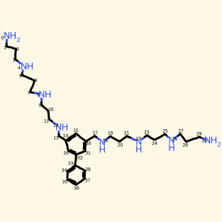 NCCCNCCCNCCCNCc1cc(CNCCCNCCCNCCCN)cc(-c2ccccc2)c1